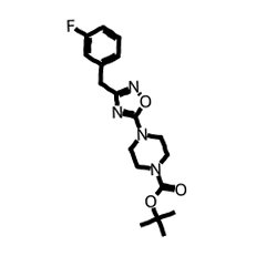 CC(C)(C)OC(=O)N1CCN(c2nc(Cc3cccc(F)c3)no2)CC1